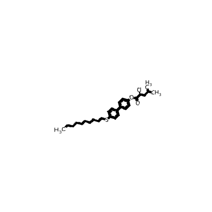 CCCCCCCCCCSc1ccc(-c2ccc(OC(=O)[C@@H](Cl)CC(C)C)cc2)cc1